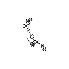 COc1ccc(C(=O)N2CC3CN(c4ccc(-c5cc(OCCN6CCOCC6)cn6ncc(C#N)c56)cn4)CC3C2)cn1